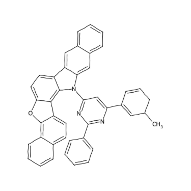 CC1C=C(c2cc(-n3c4cc5ccccc5cc4c4ccc5oc6c7ccccc7ccc6c5c43)nc(-c3ccccc3)n2)C=CC1